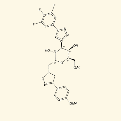 COc1ccc(C2=NOC(C[C@H]3O[C@H](COC(C)=O)[C@H](O)[C@H](n4cc(-c5cc(F)c(F)c(F)c5)nn4)[C@H]3O)C2)cc1